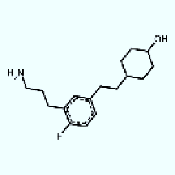 NCCCc1cc(CCC2CCC(O)CC2)ccc1F